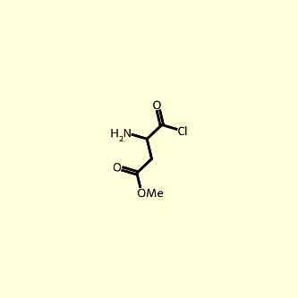 COC(=O)CC(N)C(=O)Cl